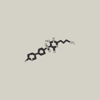 CCCCc1nc(=O)c(S(=O)(=O)c2ccc(-c3ccc(F)nc3)cc2)c(O)[nH]1